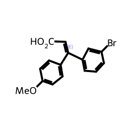 COc1ccc(/C(=C\C(=O)O)c2cccc(Br)c2)cc1